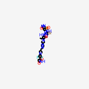 CCc1cc(Nc2ncc(Br)c(Nc3ccc4c(=O)n(C)ncc4c3P(C)(C)=O)n2)c(OC)cc1N1CCC(N2CCN(CCC3CCN(c4cc(F)c(C5CCC(=O)NC5=O)c(F)c4)CC3)CC2)CC1